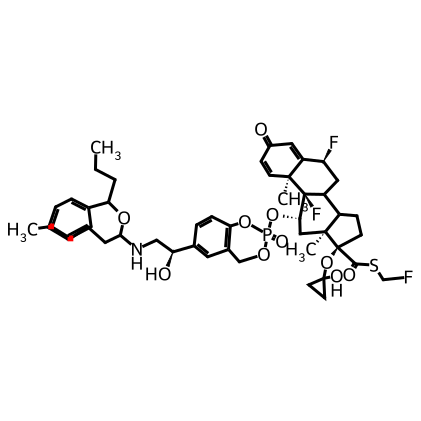 CCCCCC(NC[C@H](O)c1ccc2c(c1)COP(=O)(O[C@H]1C[C@@]3(C)C(CC[C@]3(OC3(O)CC3)C(=O)SCF)C3C[C@H](F)C4=CC(=O)C=C[C@]4(C)[C@]31F)O2)OC(CCC)c1ccccc1